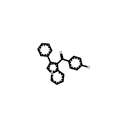 O=C(c1ccc(Cl)cc1)c1c(-c2ccccc2)[c]n2ccccc12